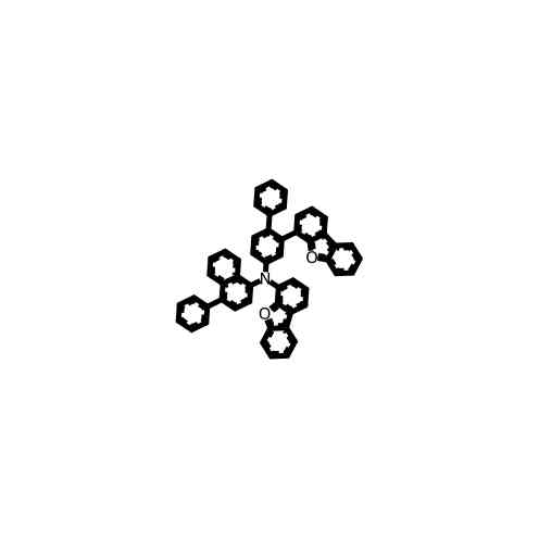 c1ccc(-c2ccc(N(c3ccc(-c4ccccc4)c4ccccc34)c3cccc4c3oc3ccccc34)cc2-c2cccc3c2oc2ccccc23)cc1